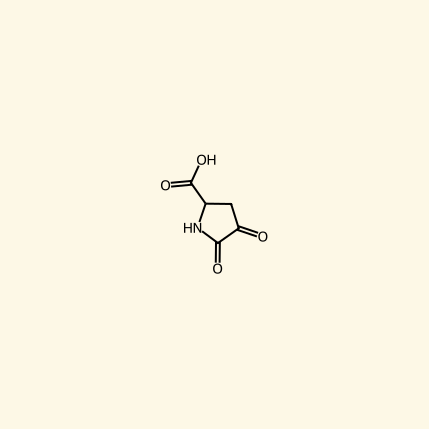 O=C1CC(C(=O)O)NC1=O